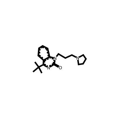 CC(C)(C)c1nc(=O)n(CCCN2CCCC2)c2ccccc12